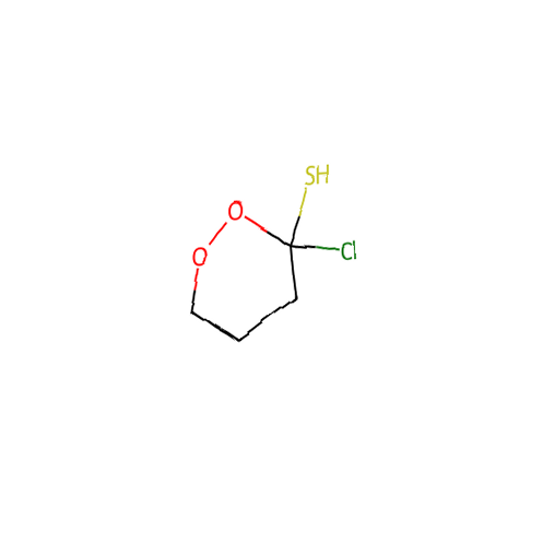 SC1(Cl)CCCOO1